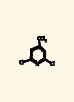 Clc1cc(C(Cl)(Cl)Cl)cc(Cl)n1